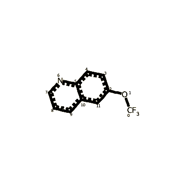 FC(F)(F)Oc1ccc2n[c]ccc2c1